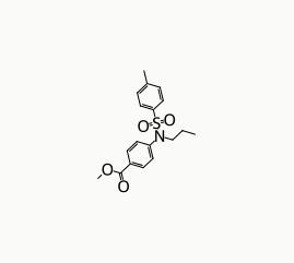 CCCN(c1ccc(C(=O)OC)cc1)S(=O)(=O)c1ccc(C)cc1